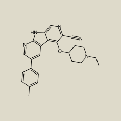 CCN1CCC(Oc2c(C#N)ncc3[nH]c4ncc(-c5ccc(C)cc5)cc4c23)CC1